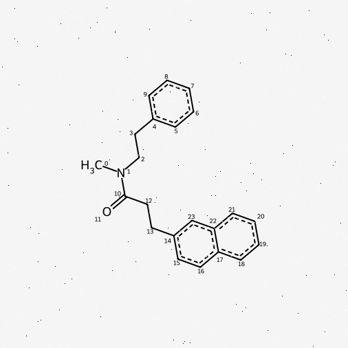 CN(CCc1ccccc1)C(=O)CCc1ccc2ccccc2c1